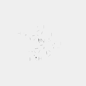 COc1ccc(C2(c3ccc(C)cc3)C=Cc3c4c(c5cc6c(cc5c3O2)OCC(F)N6C)-c2ccccc2C42CC(C)(C)CC(C)(C)C2)cc1